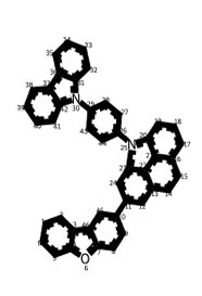 c1ccc2c(c1)oc1ccc(-c3cc4ccc5cccc6c5c4c(c3)n6-c3ccc(-n4c5ccccc5c5ccccc54)cc3)cc12